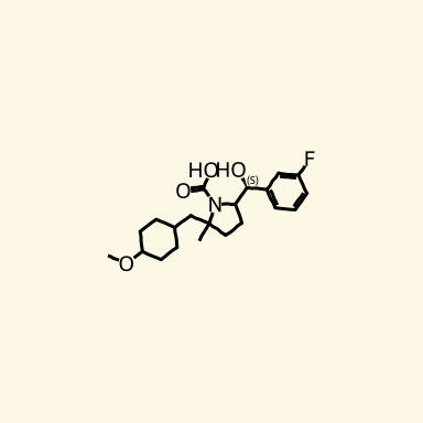 COC1CCC(CC2(C)CCC([C@@H](O)c3cccc(F)c3)N2C(=O)O)CC1